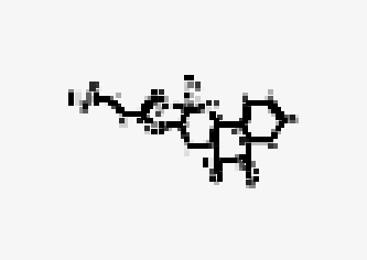 CC1(C)OC2=C(CC1OC(=O)CCN)C(=O)C(=O)c1ccccc12